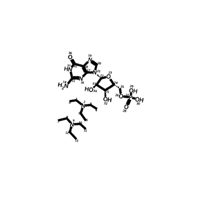 CCN(CC)CC.CCN(CC)CC.Nc1nc2c(ncn2[C@@H]2O[C@H](COP(=O)(O)O)[C@@H](O)[C@H]2O)c(=O)[nH]1